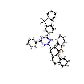 CC1(C)c2ccccc2-c2ccc(-c3nc(-c4ccccc4)nc(-c4cc5ccc6ccccc6c5c5sc6ccccc6c45)n3)cc21